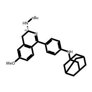 CCCCN[C@H]1Cc2cc(OC)ccc2C(c2ccc(NC34CC5CC(CC(C5)C3)C4)cc2)=N1